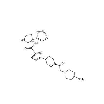 CN1CCC(CC(=O)N2CCC(c3ccc(C(=O)N[C@@]4(c5cccnn5)CCNC4)s3)CC2)CC1